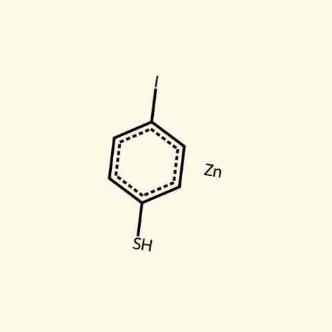 Sc1ccc(I)cc1.[Zn]